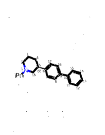 CC(C)N1CCC[C@@H](c2ccc(-c3ccccc3)cc2)C1